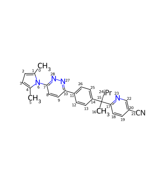 Cc1ccc(C)n1-c1ccc(-c2ccc(C(C)(c3ccc(C#N)cn3)C(C)C)cc2)nn1